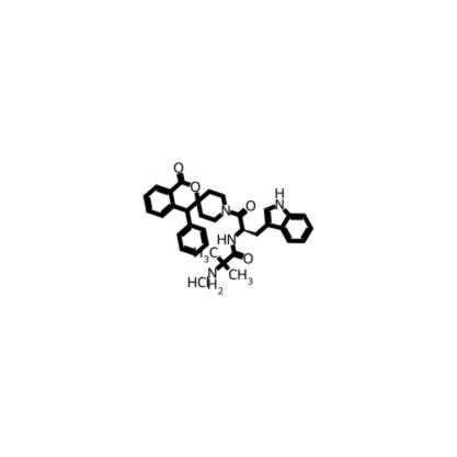 CC(C)(N)C(=O)N[C@H](Cc1c[nH]c2ccccc12)C(=O)N1CCC2(CC1)OC(=O)c1ccccc1C2c1ccccc1.Cl